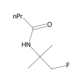 CCCC(=O)NC(C)(C)CF